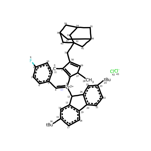 CC1=[C](/[Zr+2](=[CH]\c2ccc(F)cc2)[CH]2c3cc(C(C)(C)C)ccc3-c3ccc(C(C)(C)C)cc32)C(C)C=C1CC12CC3CC(CC(C3)C1)C2.[Cl-].[Cl-]